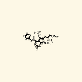 COC[C@H](N)Cc1c(F)c2c(NCc3ccco3)nc(Cl)nc2n1C.Cl